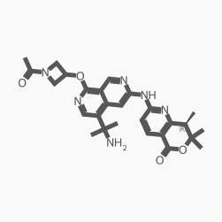 CC(=O)N1CC(Oc2ncc(C(C)(C)N)c3cc(Nc4ccc5c(n4)[C@@H](C)C(C)(C)OC5=O)ncc23)C1